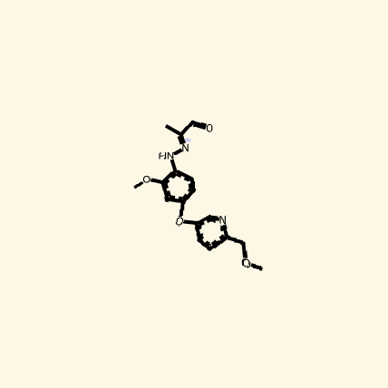 COCc1ccc(Oc2ccc(N/N=C(\C)C=O)c(OC)c2)cn1